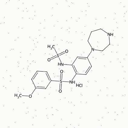 COc1cccc(S(=O)(=O)Nc2ccc(N3CCCNCC3)cc2NS(C)(=O)=O)c1.Cl